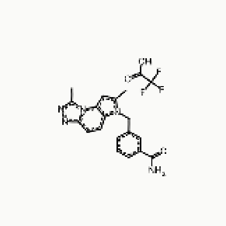 Cc1cc2c(ccc3nnc(C)n32)n1Cc1cccc(C(N)=O)c1.O=C(O)C(F)(F)F